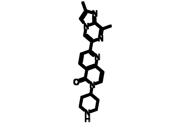 Cc1cn2cc(-c3ccc4c(=O)n(C5CCNCC5)ccc4n3)nc(C)c2n1